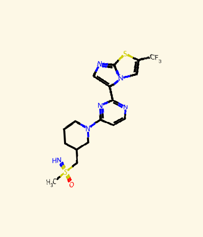 CS(=N)(=O)CC1CCCN(c2ccnc(-c3cnc4sc(C(F)(F)F)cn34)n2)C1